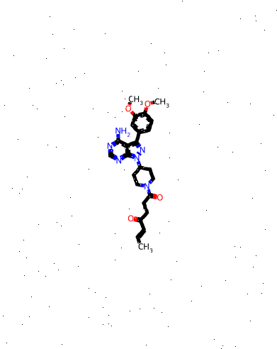 CC=CC(=O)CCC(=O)N1CCC(n2nc(-c3ccc(OC)c(OC)c3)c3c(N)ncnc32)CC1